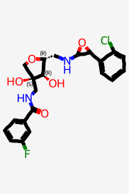 O=C(NC[C@]1(O)CO[C@H](CNC2OC2c2ccccc2Cl)[C@H]1O)c1cccc(F)c1